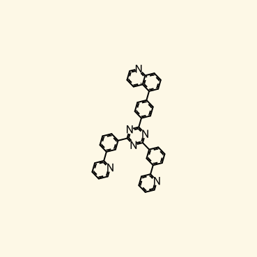 c1ccc(-c2cccc(-c3nc(-c4ccc(-c5cccc6ncccc56)cc4)nc(-c4cccc(-c5ccccn5)c4)n3)c2)nc1